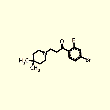 CC1(C)CCN(CCC(=O)c2ccc(Br)cc2F)CC1